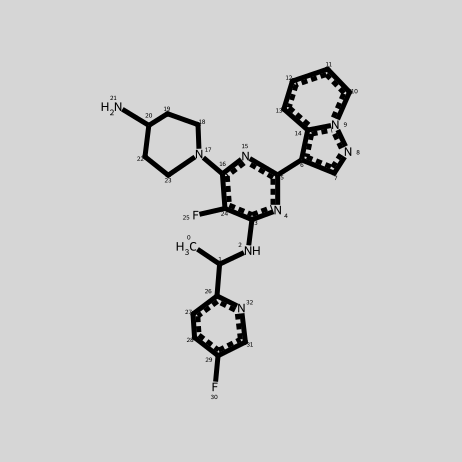 CC(Nc1nc(-c2cnn3ccccc23)nc(N2CCC(N)CC2)c1F)c1ccc(F)cn1